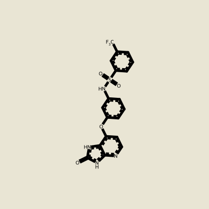 O=c1[nH]c2nccc(Oc3cccc(NS(=O)(=O)c4cccc(C(F)(F)F)c4)c3)c2[nH]1